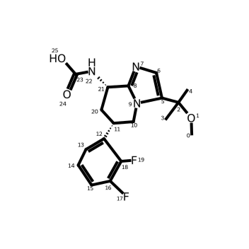 COC(C)(C)c1cnc2n1C[C@H](c1cccc(F)c1F)C[C@@H]2NC(=O)O